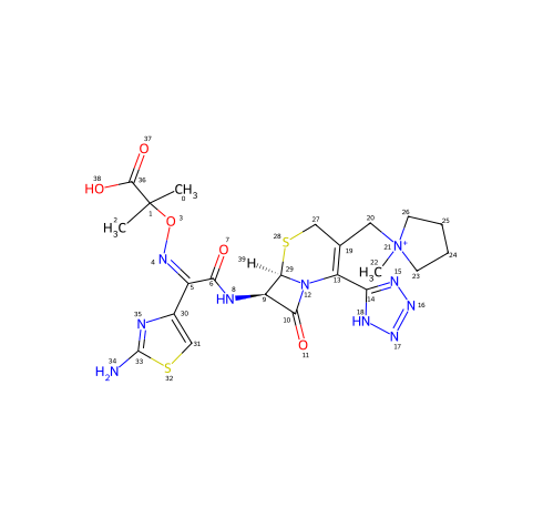 CC(C)(O/N=C(\C(=O)N[C@@H]1C(=O)N2C(c3nnn[nH]3)=C(C[N+]3(C)CCCC3)CS[C@H]12)c1csc(N)n1)C(=O)O